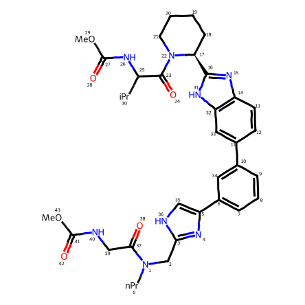 CCCN(Cc1nc(-c2cccc(-c3ccc4nc([C@@H]5CCCCN5C(=O)C(NC(=O)OC)C(C)C)[nH]c4c3)c2)c[nH]1)C(=O)CNC(=O)OC